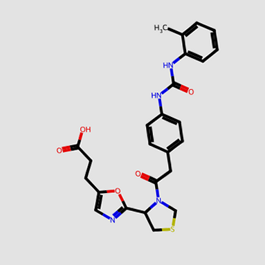 Cc1ccccc1NC(=O)Nc1ccc(CC(=O)N2CSCC2c2ncc(CCC(=O)O)o2)cc1